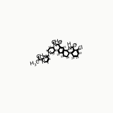 CN(C)c1nccc(N2CCC(N(C)C(=O)c3ccc4c(c3)[C@H](NC(=O)c3ccccc3Cl)CCC4)CC2)n1